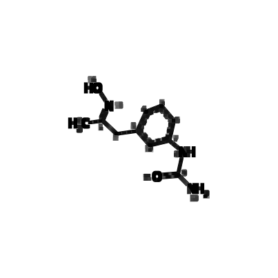 CC(Cc1cccc(NC(N)=O)c1)=NO